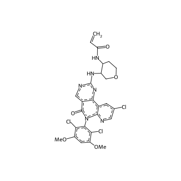 C=CC(=O)NC1CCOCC1Nc1ncc2c(=O)n(-c3c(Cl)c(OC)cc(OC)c3Cl)c3ncc(Cl)cc3c2n1